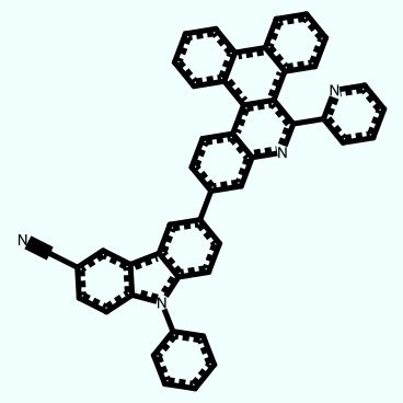 N#Cc1ccc2c(c1)c1cc(-c3ccc4c(c3)nc(-c3ccccn3)c3c5ccccc5c5ccccc5c43)ccc1n2-c1ccccc1